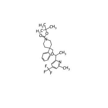 Cc1cc(C(F)(F)F)cc(C(C)OCC2(c3ccccc3)CCN(C(=O)OC(C)(C)C)CC2)n1